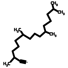 [C]#CC(C)CCCC(C)CCCC(C)CCCC(C)C